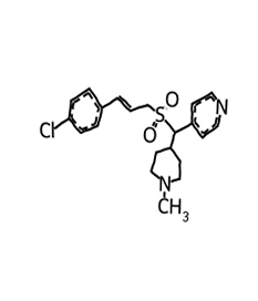 CN1CCC(C(c2ccncc2)S(=O)(=O)CC=Cc2ccc(Cl)cc2)CC1